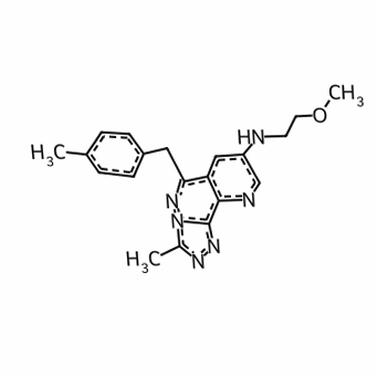 COCCNc1cnc2c(c1)c(Cc1ccc(C)cc1)nn1c(C)nnc21